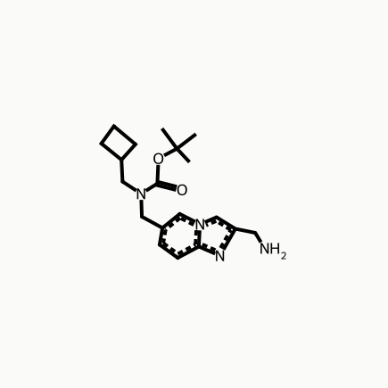 CC(C)(C)OC(=O)N(Cc1ccc2nc(CN)cn2c1)CC1CCC1